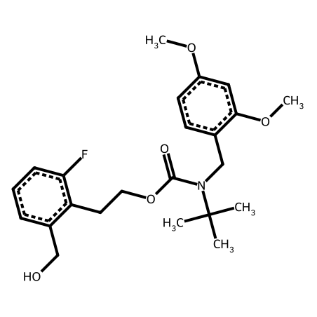 COc1ccc(CN(C(=O)OCCc2c(F)cccc2CO)C(C)(C)C)c(OC)c1